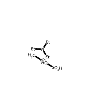 CCCC.CCN(CC)CC.O=S(=O)(O)O